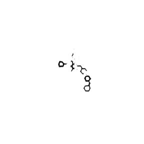 COCCNC(=O)c1nc(CC2CCN(c3ccc(C=C4CCCCC4)cc3)CC2)nc(C)c1OCc1ccccc1